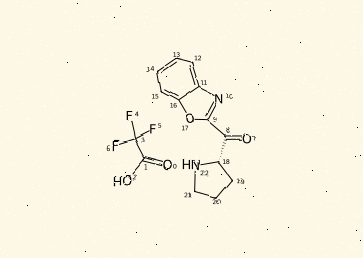 O=C(O)C(F)(F)F.O=C(c1nc2ccccc2o1)[C@@H]1CCCN1